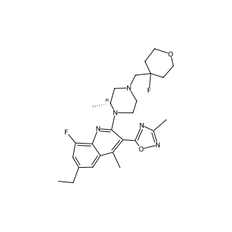 CCc1cc(F)c2nc(N3CCN(CC4(F)CCOCC4)C[C@H]3C)c(-c3nc(C)no3)c(C)c2c1